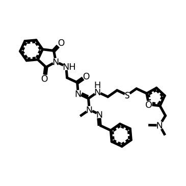 CN(C)Cc1ccc(CSCCN/C(=N\C(=O)CNN2C(=O)c3ccccc3C2=O)N(C)/N=C/c2ccccc2)o1